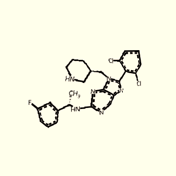 C[C@H](Nc1ncc2nc(-c3c(Cl)cccc3Cl)n(C[C@@H]3CCCNC3)c2n1)c1cccc(F)c1